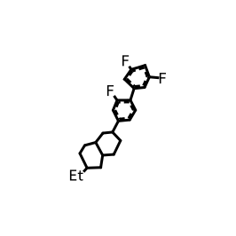 CCC1CCC2CC(c3ccc(-c4cc(F)cc(F)c4)c(F)c3)CCC2C1